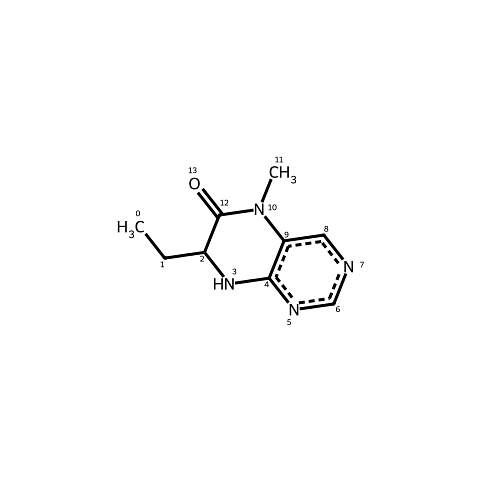 CCC1Nc2ncncc2N(C)C1=O